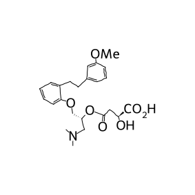 COc1cccc(CCc2ccccc2OC[C@@H](CN(C)C)OC(=O)C[C@H](O)C(=O)O)c1